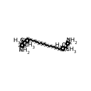 Cc1cc(N)ccc1C(C)c1ccc(CCCCCCCCCCCCCCCCCCc2ccc(C(C)c3ccc(N)cc3C)cc2)cc1